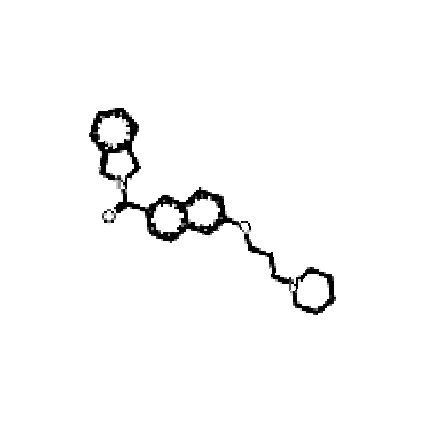 O=C(c1ccc2cc(OCCCN3CCCCC3)ccc2c1)N1Cc2ccccc2C1